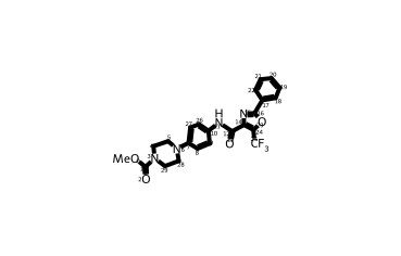 COC(=O)N1CCN(c2ccc(NC(=O)c3nc(-c4ccccc4)oc3C(F)(F)F)cc2)CC1